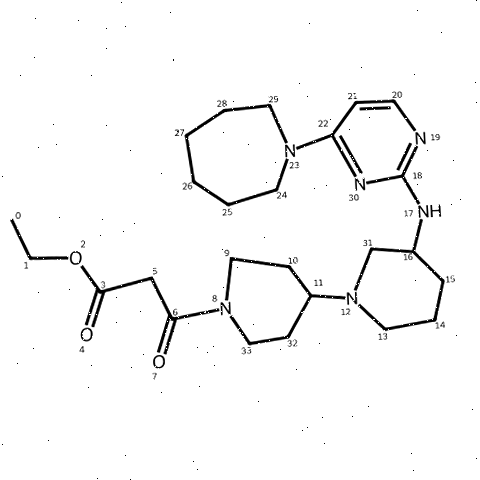 CCOC(=O)CC(=O)N1CCC(N2CCCC(Nc3nccc(N4CCCCCC4)n3)C2)CC1